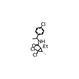 CC[C@]1(C(=O)NC(C)c2ccc(Cl)cc2)[C@H](C)C1(Cl)Cl